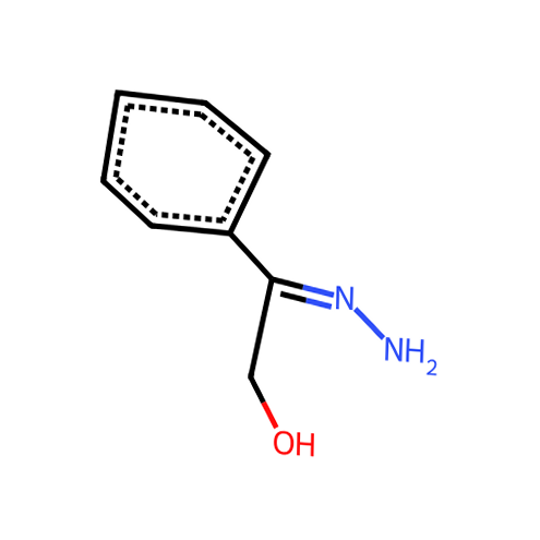 NN=C(CO)c1ccccc1